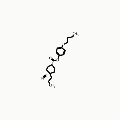 CCCCOc1ccc(OC(=O)[C@H]2CC[C@](C#N)(CCC)CC2)cc1